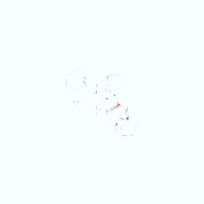 CONC1(S(=O)(=O)c2ccccc2)CCC2CCC1(c1ccccc1)N2Cc1ccccc1